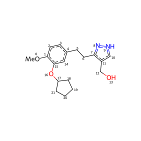 COc1ccc(CCc2n[nH]cc2CO)cc1OC1CCCC1